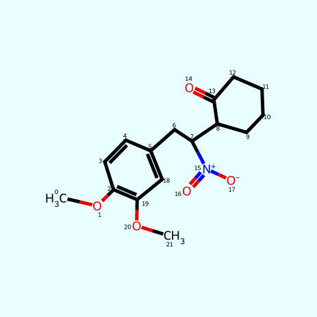 COc1ccc(CC(C2CCCCC2=O)[N+](=O)[O-])cc1OC